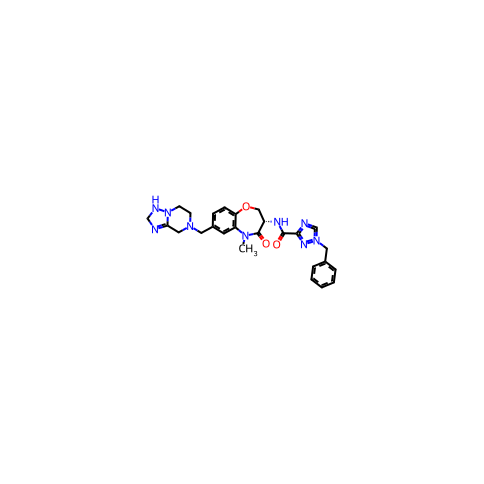 CN1C(=O)[C@@H](NC(=O)c2ncn(Cc3ccccc3)n2)COc2ccc(CN3CCN4NCN=C4C3)cc21